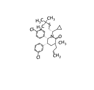 C=CC[C@@]1(C)C[C@H](c2cccc(Cl)c2)[C@H](c2ccc(Cl)cc2)N([C@H](CSC(C)(C)C)C2CC2)C1=O